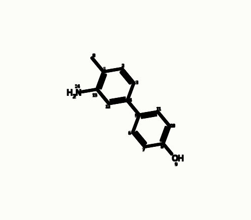 Cc1ccc(-c2ccc(O)cc2)cc1N